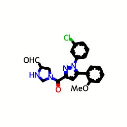 COc1ccccc1-c1cc(C(=O)N2CNC(C=O)C2)nn1-c1cccc(Cl)c1